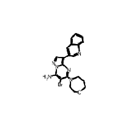 Nc1c(Br)c(N2CCCOCC2)nc2c(-c3cnc4ccccc4c3)cnn12